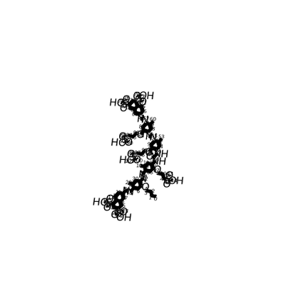 CCCCOc1cc(N=Nc2ccc3c(S(=O)(=O)O)cc(S(=O)(=O)O)cc3c2)c(C)cc1N=Nc1cc(OCCCS(=O)(=O)O)c(NC(=O)Nc2cc(C)c(N=Nc3cc(C)c(N=Nc4ccc5c(S(=O)(=O)O)cc(S(=O)(=O)O)cc5c4)cc3OCCCS(=O)(=O)O)cc2OCCCS(=O)(=O)O)cc1C